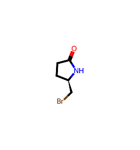 O=C1CC[C@H](CBr)N1